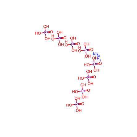 N.N.O=P(O)(O)O.O=P(O)(O)O.O=P(O)(O)O.O=P(O)(O)O.O=P(O)(O)O.O=P(O)(O)O.O=P(O)(O)O.O=P(O)(O)O